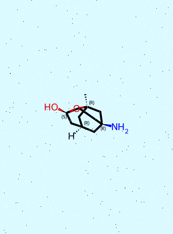 C[C@@]12C[C@H]3C[C@@](N)(C1)C[C@](O)(C3)O2